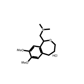 COc1cc2c(cc1OC)C(CN(C)C)OCCC2.Cl